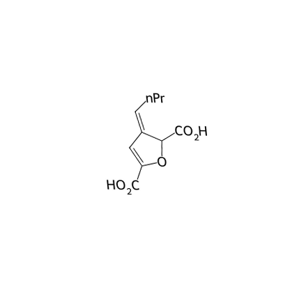 CCCC=C1C=C(C(=O)O)OC1C(=O)O